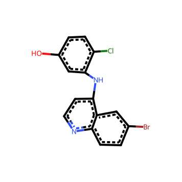 Oc1ccc(Cl)c(Nc2ccnc3ccc(Br)cc23)c1